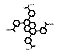 COC(=O)c1cccc(-c2cc(-c3cccc(C(=O)OC)c3)c3ccc4c(-c5cccc(C(=O)OC)c5)cc(-c5cccc(C(=O)OC)c5)c5ccc2c3c54)c1